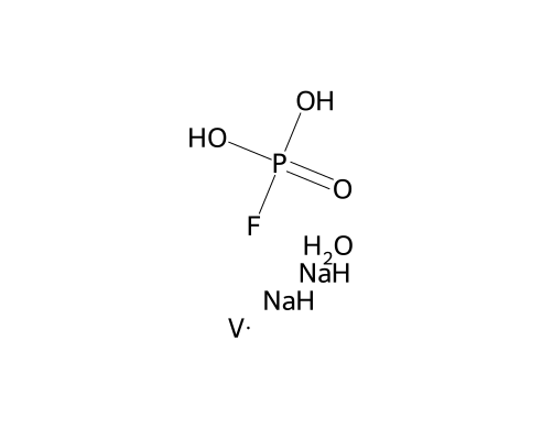 O.O=P(O)(O)F.[NaH].[NaH].[V]